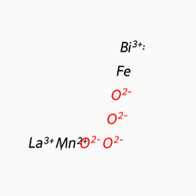 [Bi+3].[Fe].[La+3].[Mn+2].[O-2].[O-2].[O-2].[O-2]